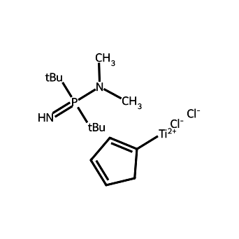 CN(C)P(=N)(C(C)(C)C)C(C)(C)C.[Cl-].[Cl-].[Ti+2][C]1=CC=CC1